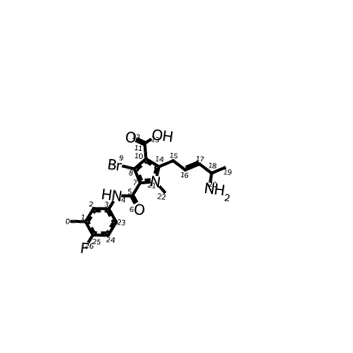 Cc1cc(NC(=O)c2c(Br)c(C(=O)O)c(C/C=C/C(C)N)n2C)ccc1F